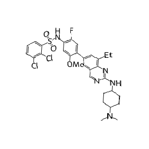 CCc1cc(-c2cc(F)c(NS(=O)(=O)c3cccc(Cl)c3Cl)cc2OC)cc2cnc(NC3CCC(N(C)C)CC3)nc12